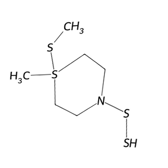 CSS1(C)CCN(SS)CC1